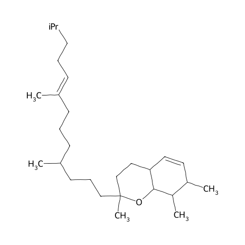 C/C(=C\CCC(C)C)CCCC(C)CCCC1(C)CCC2C=CC(C)C(C)C2O1